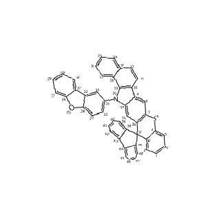 c1ccc2c(c1)Sc1cc3c4ccc5ccccc5c4n(-c4ccc5oc6ccccc6c5c4)c3cc1C21c2ccccc2-c2ccccc21